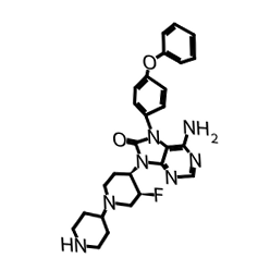 Nc1ncnc2c1n(-c1ccc(Oc3ccccc3)cc1)c(=O)n2[C@@H]1CCN(C2CCNCC2)C[C@@H]1F